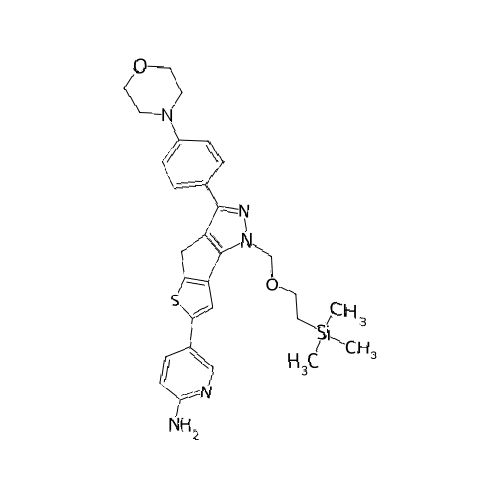 C[Si](C)(C)CCOCn1nc(-c2ccc(N3CCOCC3)cc2)c2c1-c1cc(-c3ccc(N)nc3)sc1C2